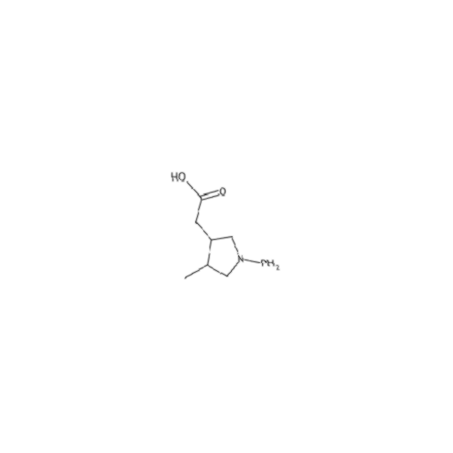 CC1CN(P)CC1CC(=O)O